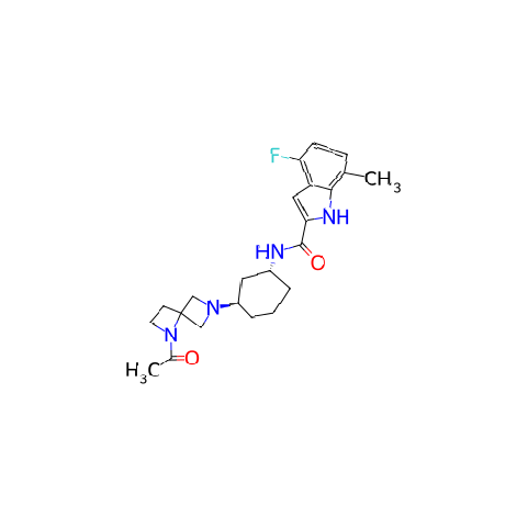 CC(=O)N1CCC12CN([C@@H]1CCC[C@@H](NC(=O)c3cc4c(F)ccc(C)c4[nH]3)C1)C2